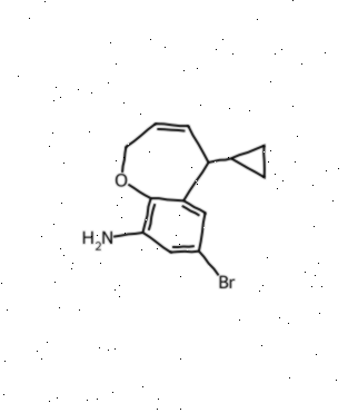 Nc1cc(Br)cc2c1OCC=CC2C1CC1